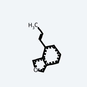 C/C=C/c1cccc2cocc12